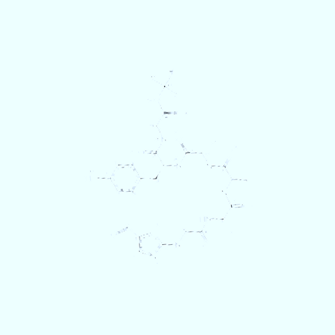 CC(NC(=O)[C@H](C)NC(=O)CNc1ncc(C=O)s1)C(=O)N[C@@H](C)C(=O)N[C@@H](Cc1ccc(O)cc1)C(=O)NCC(=O)OC(C)(C)C